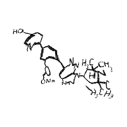 COCOc1cc(-c2ccc(O)cn2)ccc1-c1cc2nnn(C3CC(C)(C)NC(C)(C)C3)c2nn1